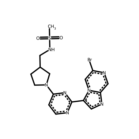 CS(=O)(=O)NCC1CCN(c2ccnc(-c3cnc4cnc(Br)cn34)n2)C1